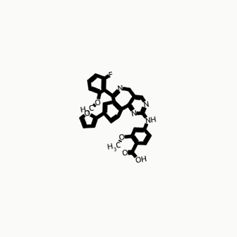 COc1cc(Nc2ncc3c(n2)-c2ccc(-c4ccco4)cc2C(c2c(F)cccc2OC)=NC3)ccc1C(=O)O